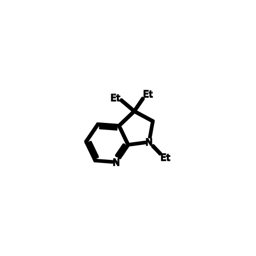 CCN1CC(CC)(CC)c2cccnc21